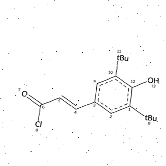 CC(C)(C)c1cc(C=CC(=O)Cl)cc(C(C)(C)C)c1O